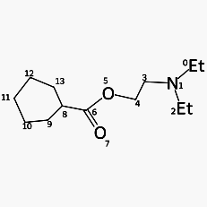 CCN(CC)CCOC(=O)C1CCCCC1